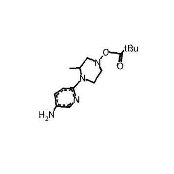 CC1CN(OC(=O)C(C)(C)C)CCN1c1ccc(N)cn1